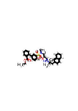 CCOC(=O)c1ccccc1-c1cccc(S(=O)(=O)N(C)C[C@H](O)CNC(C)(C)Cc2ccc3ccccc3c2)c1